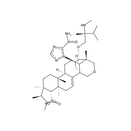 CN[C@@](C)(CO[C@H]1[C@H](n2ncnc2C(N)=O)C[C@@]23COC[C@]1(C)[C@@H]2CC[C@H]1C3=CC[C@@]2(C)[C@H](C(=O)O)[C@@](C)([C@H](C)C(C)C)CC[C@]12C)C(C)C